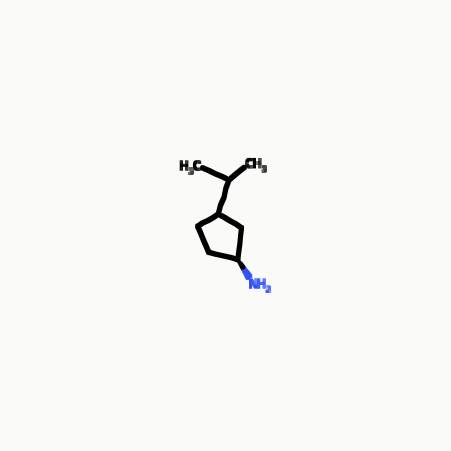 CC(C)C1CC[C@H](N)C1